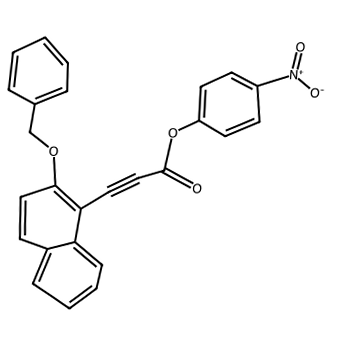 O=C(C#Cc1c(OCc2ccccc2)ccc2ccccc12)Oc1ccc([N+](=O)[O-])cc1